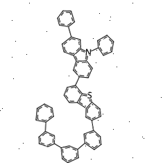 c1ccc(-c2cccc(-c3cccc(-c4cccc(-c5ccc6sc7c(-c8ccc9c(c8)c8ccc(-c%10ccccc%10)cc8n9-c8ccccc8)cccc7c6c5)c4)c3)c2)cc1